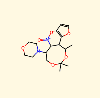 CC1OC(C)(C)OCC(N2CCOCC2)C([N+](=O)[O-])C1c1ccco1